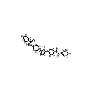 O=C(Nc1ccc(-c2cnc(-c3ccc(NC(=O)c4cccnc4)cc3)[nH]2)cc1)c1cccnc1